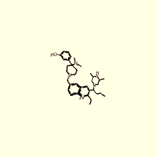 CCCC(c1cc2cc(CN3CCC(c4cccc(O)c4)(N(C)C)CC3)ccc2nc1CC)N1CC(C)NC(C)C1